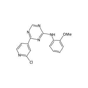 COc1ccccc1Nc1ncnc(-c2ccnc(Cl)c2)n1